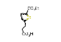 CCOC(=O)c1ccc(CCC(=O)O)s1